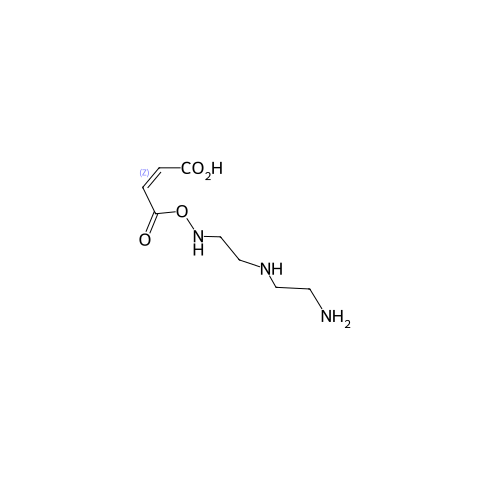 NCCNCCNOC(=O)/C=C\C(=O)O